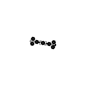 C[Si]1(C)c2ccccc2N(c2ccc(-c3nc4cc5oc(-c6ccc(N7c8ccccc8[Si](C)(C)c8ccccc87)cc6)nc5cc4o3)cc2)c2ccccc21